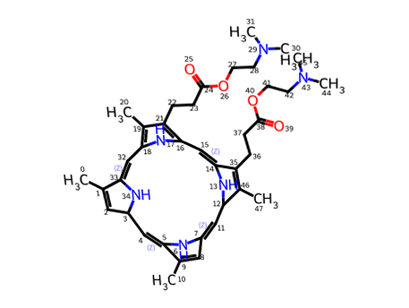 CC1=CC2/C=c3\[nH]/c(cc3C)=C\C3N/C(=C\c4[nH]c(c(C)c4CCC(=O)OCCN(C)C)/C=C/1N2)C(CCC(=O)OCCN(C)C)=C3C